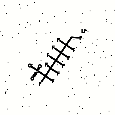 O=S(=O)([O-])C(F)(F)C(F)(F)C(F)(F)C(F)(F)C(F)(F)CF.[Li+]